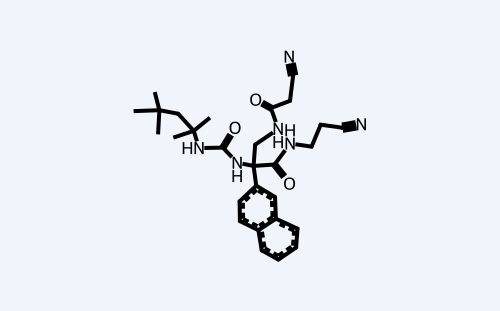 CC(C)(C)CC(C)(C)NC(=O)NC(CNC(=O)CC#N)(C(=O)NCCC#N)c1ccc2ccccc2c1